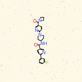 O=C(NC1CCN(c2ccc(C(=O)N3CCC3)cn2)CC1)c1ccc(-c2cccc(F)c2)nc1